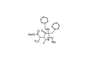 COC(=O)C(C)C(C(=O)C(Cc1ccccc1)(/N=C/c1ccccc1)C(=O)OC(C)(C)C)C(F)F